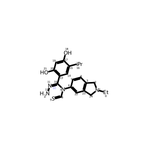 CCN1Cc2ccc(N(C=S)/C(=N\N)c3cc(C(C)C)c(O)cc3O)cc2C1